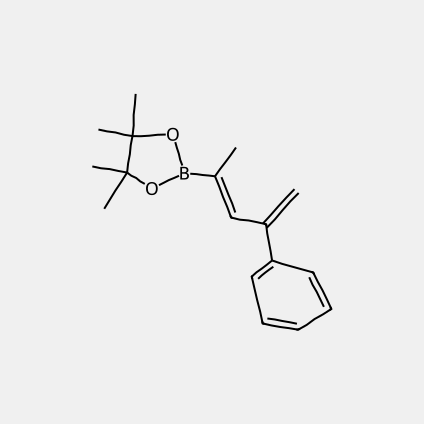 C=C(/C=C(\C)B1OC(C)(C)C(C)(C)O1)c1ccccc1